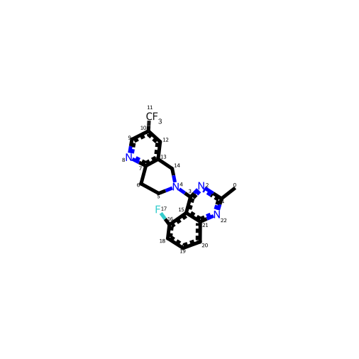 Cc1nc(N2CCc3ncc(C(F)(F)F)cc3C2)c2c(F)cccc2n1